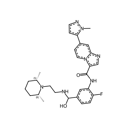 C[C@@H]1CCC[C@H](C)N1CCNC(O)c1ccc(F)c(NC(=O)c2cnc3cc(-c4ccnn4C)ccn23)c1